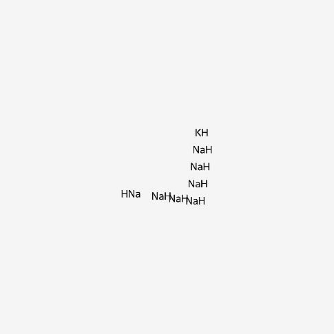 [KH].[NaH].[NaH].[NaH].[NaH].[NaH].[NaH].[NaH]